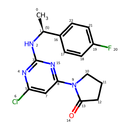 C[C@H](Nc1nc(Cl)cc(N2CCCC2=O)n1)c1ccc(F)cc1